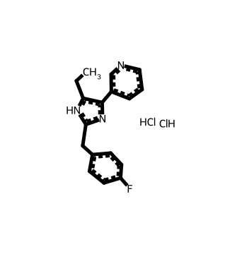 CCc1[nH]c(Cc2ccc(F)cc2)nc1-c1cccnc1.Cl.Cl